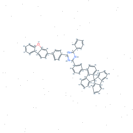 c1ccc(-c2nc(-c3ccc(-c4ccc5c(c4)oc4ccccc45)cc3)nc(-c3cccc(-c4cccc5c4-c4ccccc4C54c5ccccc5-c5ccccc54)c3)n2)cc1